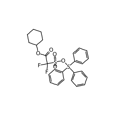 O=C(OC1CCCCC1)C(F)(F)S(=O)(=O)OS(c1ccccc1)(c1ccccc1)c1ccccc1